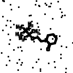 CC(C)(C)[Si](C)(C)OCCN1CCCCC1=O